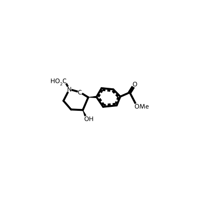 COC(=O)c1ccc([C@@H]2CN(C(=O)O)CC[C@@H]2O)cc1